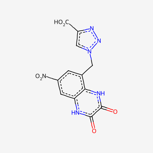 O=C(O)c1cn(Cc2cc([N+](=O)[O-])cc3[nH]c(=O)c(=O)[nH]c23)nn1